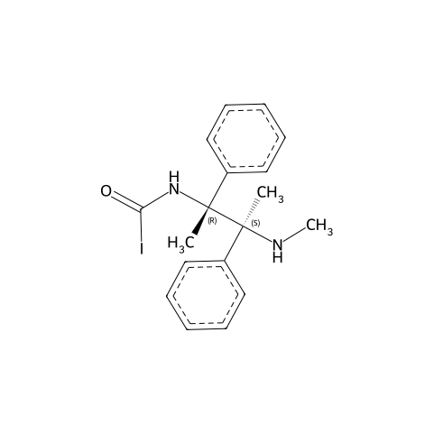 CN[C@@](C)(c1ccccc1)[C@](C)(NC(=O)I)c1ccccc1